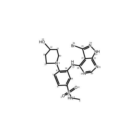 CNS(=O)(=O)c1ccc(N2CCC(O)CC2)c(Nc2ncnc3[nH]nc(Br)c23)c1